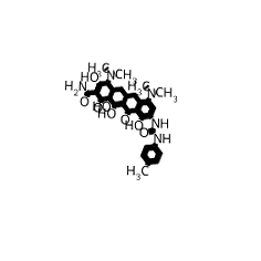 Cc1ccc(NC(=O)Nc2cc(N(C)C)c3c(c2O)C(=O)C2=C(O)C4(O)C(=O)C(C(N)=O)=C(O)C(N(C)C)C4CC2C3)cc1